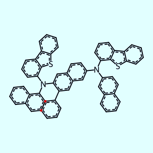 c1ccc(-c2cc3cc(N(c4ccc5ccccc5c4)c4cccc5c4sc4ccccc45)ccc3cc2N(c2cccc3ccccc23)c2cccc3c2sc2ccccc23)cc1